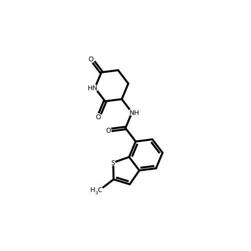 Cc1cc2cccc(C(=O)NC3CCC(=O)NC3=O)c2s1